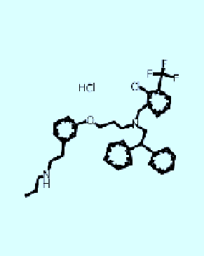 CCCNCCc1cccc(OCCCN(Cc2cccc(C(F)(F)F)c2Cl)CC(c2ccccc2)c2ccccc2)c1.Cl